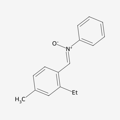 CCc1cc(C)ccc1C=[N+]([O-])c1ccccc1